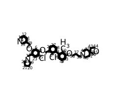 Cc1c(COc2cc(OCc3cccnc3)c(CN3CCCC3)cc2Cl)cccc1-c1cccc(OCCCN2CCC3(CCOC3)CC2)c1C